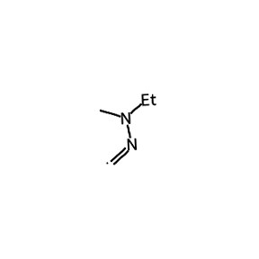 [CH]=NN(C)CC